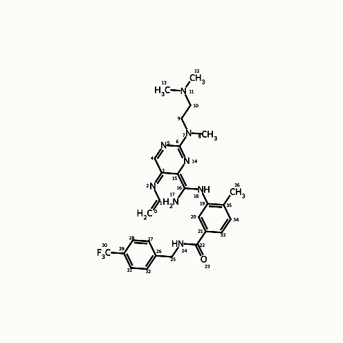 C=C/N=C1/C=NC(N(C)CCN(C)C)=N/C1=C(/N)Nc1cc(C(=O)NCc2ccc(C(F)(F)F)cc2)ccc1C